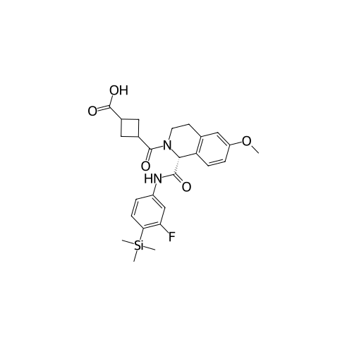 COc1ccc2c(c1)CCN(C(=O)C1CC(C(=O)O)C1)[C@H]2C(=O)Nc1ccc([Si](C)(C)C)c(F)c1